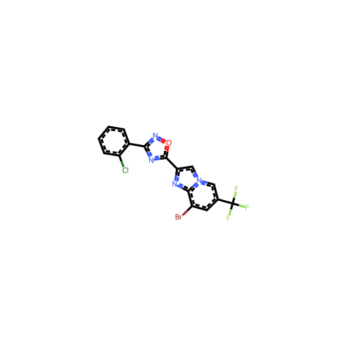 FC(F)(F)c1cc(Br)c2nc(-c3nc(-c4ccccc4Cl)no3)cn2c1